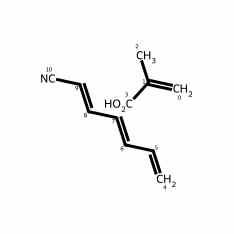 C=C(C)C(=O)O.C=CC=CC=CC#N